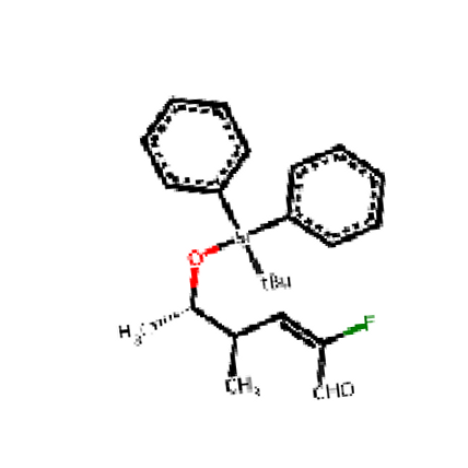 C[C@H](/C=C(/F)C=O)[C@H](C)O[Si](c1ccccc1)(c1ccccc1)C(C)(C)C